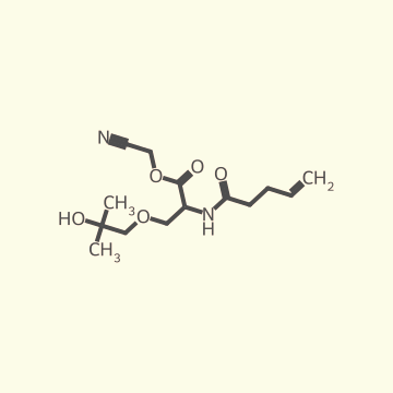 C=CCCC(=O)NC(COCC(C)(C)O)C(=O)OCC#N